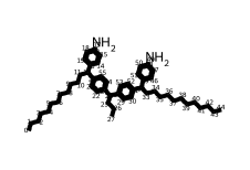 CCCCCCCCCCCCC(c1ccc(N)cc1)c1ccc(C(CCC)c2ccc(C(CCCCCCCCCCCC)c3ccc(N)cc3)cc2)cc1